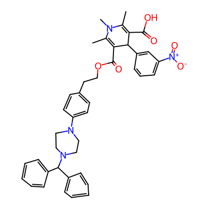 CC1=C(C(=O)O)C(c2cccc([N+](=O)[O-])c2)C(C(=O)OCCc2ccc(N3CCN(C(c4ccccc4)c4ccccc4)CC3)cc2)=C(C)N1C